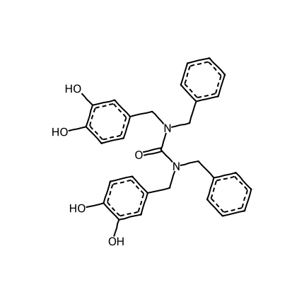 O=C(N(Cc1ccccc1)Cc1ccc(O)c(O)c1)N(Cc1ccccc1)Cc1ccc(O)c(O)c1